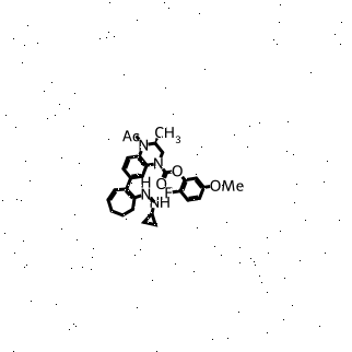 COc1ccc(F)c(OC(=O)N2C[C@H](C)N(C(C)=O)c3ccc(C4=C(NNC5CC5)CCCC=C4)cc32)c1